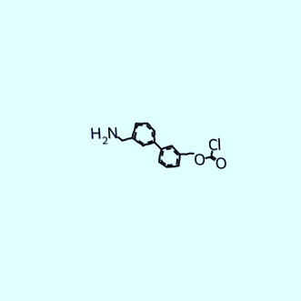 NCc1cccc(-c2cccc(COC(=O)Cl)c2)c1